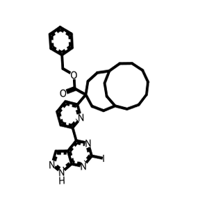 O=C(OCc1ccccc1)C1(c2cccc(-c3nc(I)nc4[nH]ncc34)n2)CCC2CCCCCCCC(CC2)CC1